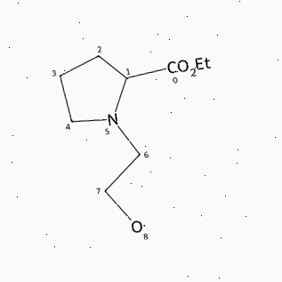 CCOC(=O)C1CCCN1CC[O]